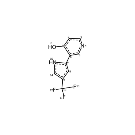 Oc1ccncc1-c1cc(C(F)(F)F)c[nH]1